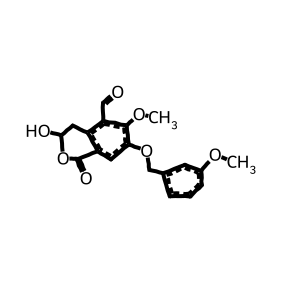 COc1cccc(COc2cc3c(c(C=O)c2OC)CC(O)OC3=O)c1